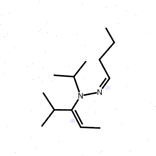 C/C=C(/C(C)C)N(/N=C\CCC)C(C)C